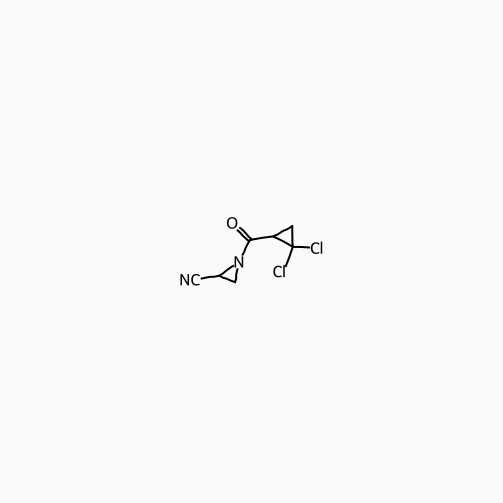 N#CC1CN1C(=O)C1CC1(Cl)Cl